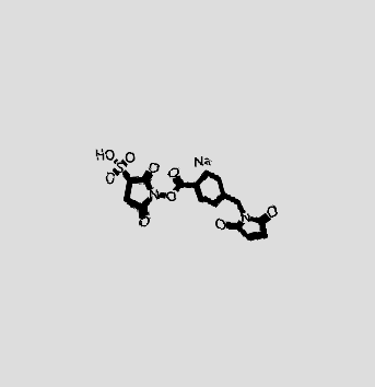 O=C(ON1C(=O)CC(S(=O)(=O)O)C1=O)C1CCC(CN2C(=O)C=CC2=O)CC1.[Na]